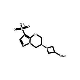 COC1CN([C@@H]2COc3c(S(N)(=O)=O)cnn3C2)C1